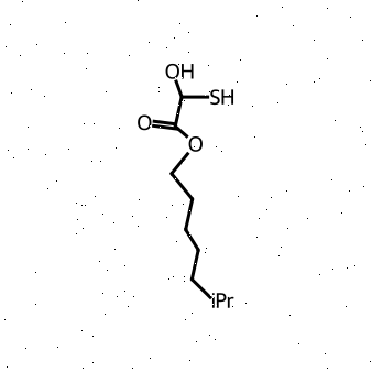 CC(C)CCCCCOC(=O)C(O)S